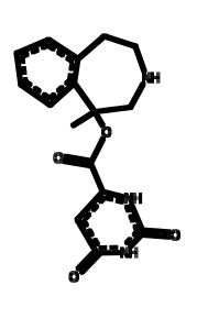 CC1(OC(=O)c2cc(=O)[nH]c(=O)[nH]2)CNCCc2ccccc21